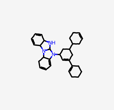 C1=CCC2C(=C1)N(C1C=C(C3=CCCCC3)CC(C3CC=CCC3)C1)C1NC3C=CC=CC3N21